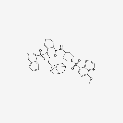 COc1ccc(S(=O)(=O)N2CCC(NC(=O)c3ccccc3N(CCC3C4CC5CC(C4)CC3C5)S(=O)(=O)c3cccc4ccccc34)CC2)c2cccnc12